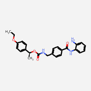 CCOc1ccc([C@H](C)OC(=O)NCc2ccc(C(=O)Nc3ccccc3N)cc2)cc1